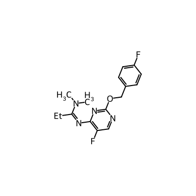 CC/C(=N/c1nc(OCc2ccc(F)cc2)ncc1F)N(C)C